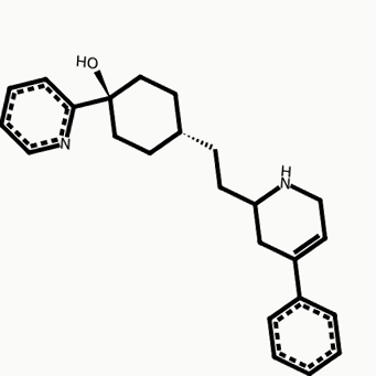 O[C@]1(c2ccccn2)CC[C@@H](CCC2CC(c3ccccc3)=CCN2)CC1